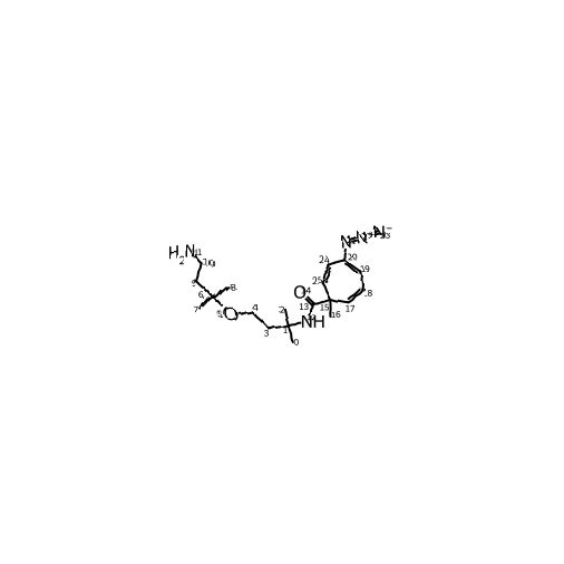 CC(C)(CCOC(C)(C)CCN)NC(=O)C1(C)C=CC=C(N=[N+]=[N-])C=C1